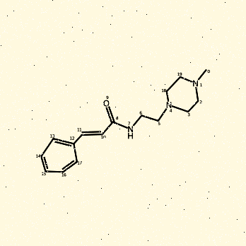 CN1CCN(CCNC(=O)/C=C/c2ccccc2)CC1